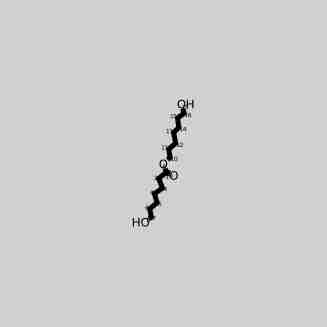 O=C(CCCCCCO)OCCCCCCCO